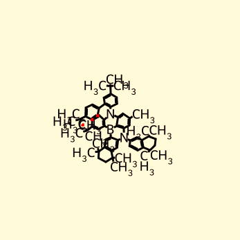 Cc1cc2c3c(c1)N(c1ccc(C(C)(C)C)cc1-c1ccc(C(C)(C)C)cc1)c1ccc(C(C)(C)C)cc1B3c1cc3c(cc1N2c1ccc2c(c1)C(C)(C)CCC2(C)C)C(C)(C)CCC3(C)C